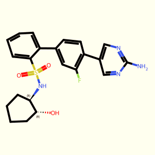 Nc1ncc(-c2ccc(-c3ccccc3S(=O)(=O)N[C@@H]3CCCC[C@H]3O)cc2F)cn1